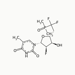 Cc1cn([C@@H]2O[C@H](CC(F)(F)P(C)(C)=O)[C@@H](O)[C@H]2F)c(=O)[nH]c1=O